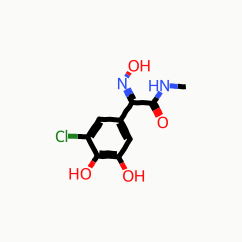 CNC(=O)C(=NO)c1cc(O)c(O)c(Cl)c1